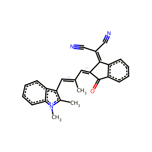 CC(/C=C1\C(=O)c2ccccc2C1=C(C#N)C#N)=C\c1c(C)n(C)c2ccccc12